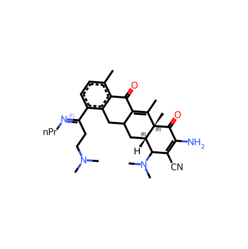 CCC/N=C(\CCN(C)C)c1ccc(C)c2c1CC1C[C@H]3C(N(C)C)C(C#N)=C(N)C(=O)[C@@]3(C)C(C)=C1C2=O